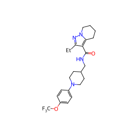 CCc1nn2c(c1C(=O)NCC1CCN(c3ccc(OC(F)(F)F)cc3)CC1)CCCC2